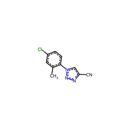 Cc1cc(Cl)ccc1-n1cc(C#N)nn1